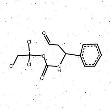 O=[C]CC(NC(=O)OC(Cl)(Cl)CCl)c1ccccc1